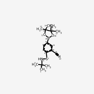 CC(C)(C)NSc1ccc(B2OC(C)(C)C(C)(C)O2)cc1C#N